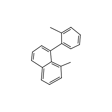 Cc1ccccc1-c1cccc2cccc(C)c12